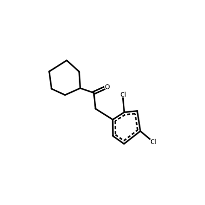 O=C(Cc1ccc(Cl)cc1Cl)C1CCCCC1